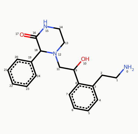 NCCc1ccccc1C(O)CN1CCNC(=O)C1c1ccccc1